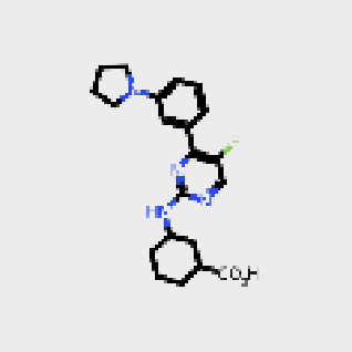 O=C(O)C1CCCC(Nc2ncc(F)c(-c3cccc(N4CCCC4)c3)n2)C1